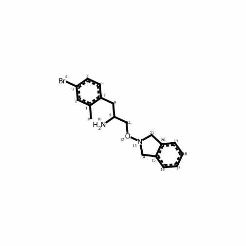 Cc1cc(Br)ccc1CC(N)CON1Cc2ccccc2C1